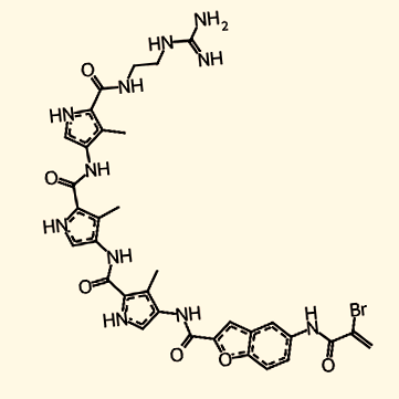 C=C(Br)C(=O)Nc1ccc2oc(C(=O)Nc3c[nH]c(C(=O)Nc4c[nH]c(C(=O)Nc5c[nH]c(C(=O)NCCNC(=N)N)c5C)c4C)c3C)cc2c1